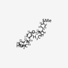 CSc1ccc(-c2ccc(C)n2CCOc2cccc(CN(CC(=O)O)Cc3ccccc3)c2)cc1